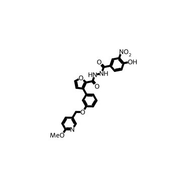 COc1ccc(COc2cccc(-c3ccoc3C(=O)NNC(=O)c3ccc(O)c([N+](=O)[O-])c3)c2)cn1